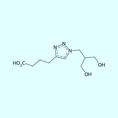 O=C(O)CCCc1cn(CC(CO)CO)nn1